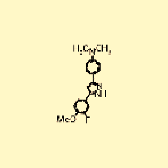 COc1ccc(-c2cc(-c3ccc(N(C)C)cc3)n[nH]2)cc1F